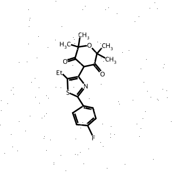 CCc1sc(-c2ccc(F)cc2)nc1C1C(=O)C(C)(C)OC(C)(C)C1=O